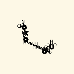 Cc1c(-c2ccc(C#N)c(Cl)c2)nn(Cc2ccc(NCCNCCNCCNc3cccc4c3C(=O)N(C3CCC(=O)NC3=O)C4=O)cc2)c1C